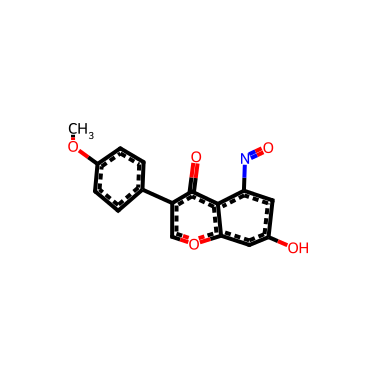 COc1ccc(-c2coc3cc(O)cc(N=O)c3c2=O)cc1